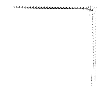 O=P(O)(O)O.O=P(O)(O)O.O=P(O)(O)O.[Na+].[Na+].[Na+].[Na+].[Na+].[Na+].[Na+].[Na+].[Na+].[Na+].[Na+].[Na+].[Na+].[Na+].[Na+].[Na+].[Na+].[Na+].[Na+].[Na+].[Na+].[Na+].[Na+].[Na+].[Na+].[Na+].[Na+].[Na+].[Na+].[Na+].[Na+].[Na+].[Na+].[Na+].[Na+].[Na+].[Na+].[Na+].[Na+].[Na+].[Na+].[Na+].[Na+].[Na+].[Na+].[Na+].[Na+].[Na+].[Na+].[Na+].[Na+].[Na+].[Na+].[Na+].[Na+].[Na+].[Na+].[Na+].[Na+].[Na+].[Na+].[Na+].[Na+].[Na+].[Na+].[Na+].[Na+].[Na+].[Na+].[Na+].[Na+].[Na+].[Na+].[Na+].[Na+].[Na+].[Na+].[Na+].[Na+].[Na+].[Na+].[Na+].[Na+].[Na+].[Na+].[Na+].[Na+].[Na+].[Na+].[Na+].[Na+].[Na+]